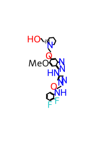 COc1cc2c(Nc3cnn(CC(=O)Nc4cccc(F)c4F)c3)ncnc2cc1OCCN1CCCC[C@H]1CCO